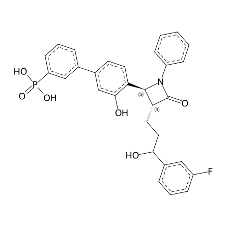 O=C1[C@H](CCC(O)c2cccc(F)c2)[C@@H](c2ccc(-c3cccc(P(=O)(O)O)c3)cc2O)N1c1ccccc1